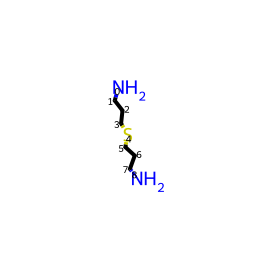 NCCCSCCCN